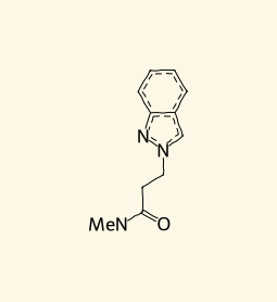 CNC(=O)CCn1cc2ccccc2n1